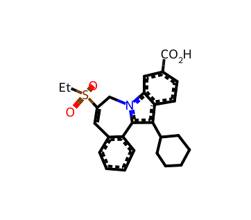 CCS(=O)(=O)C1=Cc2ccccc2-c2c(C3CCCCC3)c3ccc(C(=O)O)cc3n2C1